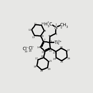 CN(C)CC[C]1([Ti+2])C(C2CCCCC2)=CC(C2CCCCC2)=C1C1CCCCC1.[Cl-].[Cl-]